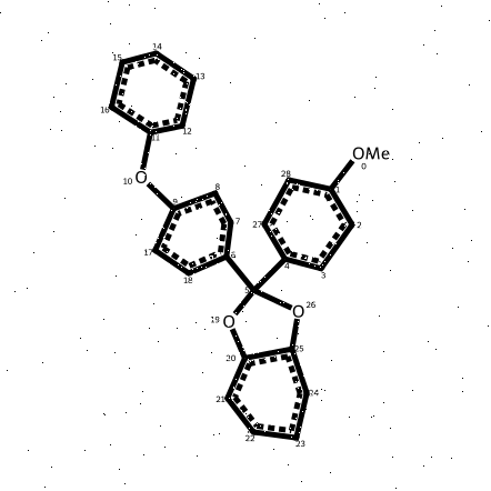 COc1ccc(C2(c3ccc(Oc4ccccc4)cc3)Oc3c[c]ccc3O2)cc1